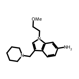 COCCn1cc(CN2CCCCC2)c2ccc(N)cc21